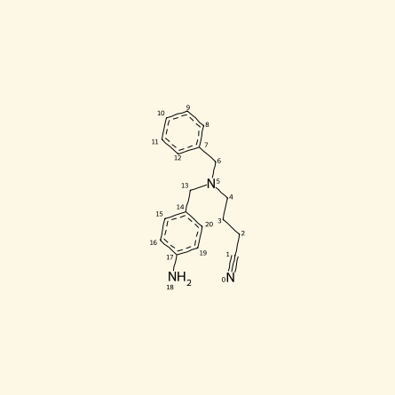 N#CCCCN(Cc1ccccc1)Cc1ccc(N)cc1